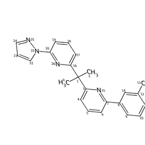 CC(C)(c1cccc(-c2cccc(C#N)c2)n1)c1cccc(-n2cccn2)n1